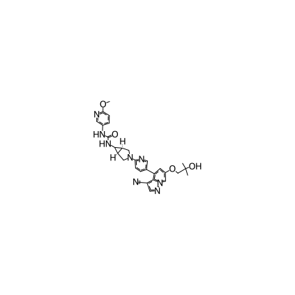 COc1ccc(NC(=O)NC2[C@H]3CN(c4ccc(-c5cc(OCC(C)(C)O)cn6ncc(C#N)c56)cn4)C[C@@H]23)cn1